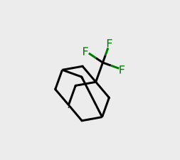 FC(F)(F)C12C[C]3CC(CC(C3)C1)C2